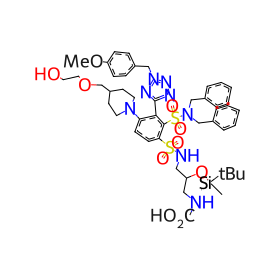 COc1ccc(Cn2nnc(-c3c(N4CCC(COCCO)CC4)ccc(S(=O)(=O)NCC(CNC(=O)O)O[Si](C)(C)C(C)(C)C)c3S(=O)(=O)N(Cc3ccccc3)Cc3ccccc3)n2)cc1